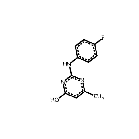 Cc1cc(O)nc(Nc2ccc(F)cc2)n1